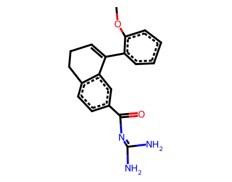 COc1ccccc1C1=CCCc2ccc(C(=O)N=C(N)N)cc21